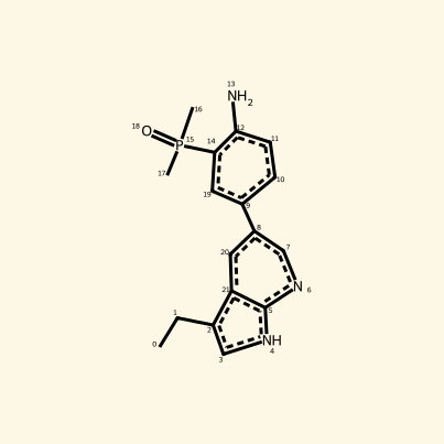 CCc1c[nH]c2ncc(-c3ccc(N)c(P(C)(C)=O)c3)cc12